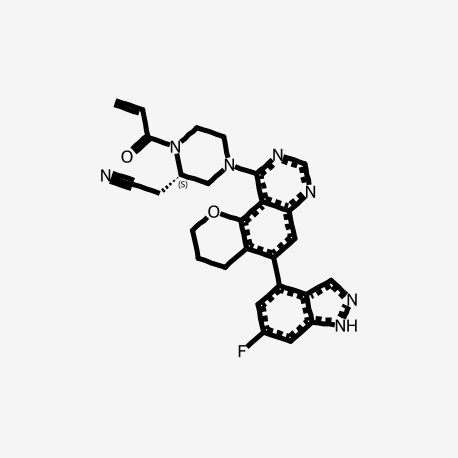 C=CC(=O)N1CCN(c2ncnc3cc(-c4cc(F)cc5[nH]ncc45)c4c(c23)OCCC4)C[C@@H]1CC#N